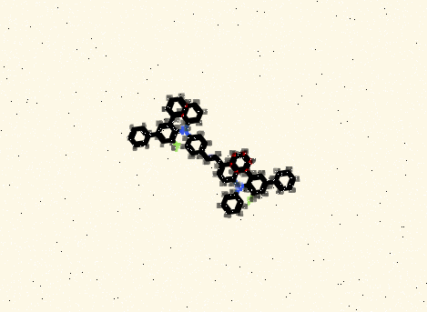 Fc1cc(-c2ccccc2)cc(-c2ccccc2)c1N(c1ccccc1)c1ccc(/C=C/c2ccc(N(c3ccccc3)c3c(F)cc(-c4ccccc4)cc3-c3ccccc3)c3ccccc23)cc1